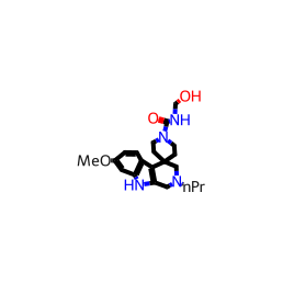 CCCN1Cc2[nH]c3cc(OC)ccc3c2C2(CCN(C(=O)NCO)CC2)C1